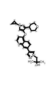 CC(C)(O)Cn1cc(-c2ccc3c(Oc4cn(C5CC5)nc4C4CCOCC4)ccnc3c2)cn1